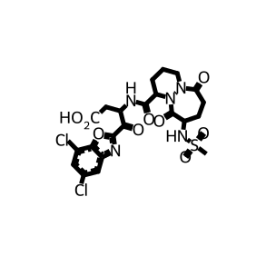 CS(=O)(=O)NC1CCC(=O)N2CCCC(C(=O)NC(CC(=O)O)C(=O)c3nc4cc(Cl)cc(Cl)c4o3)N2C1=O